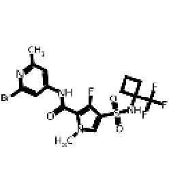 Cc1cc(NC(=O)c2c(F)c(S(=O)(=O)NC3(C(F)(F)F)CCC3)cn2C)cc(Br)n1